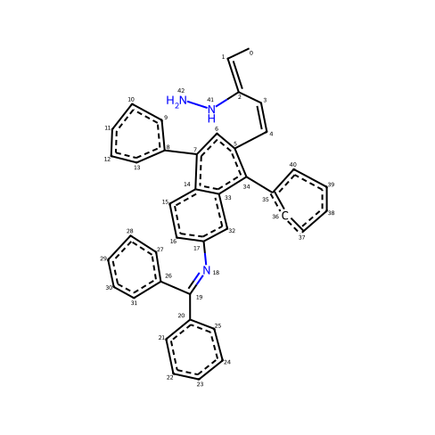 C/C=C(\C=C/c1cc(-c2ccccc2)c2ccc(N=C(c3ccccc3)c3ccccc3)cc2c1-c1ccccc1)NN